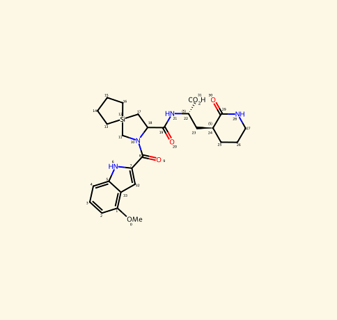 COc1cccc2[nH]c(C(=O)N3C[Si]4(CCCC4)CC3C(=O)N[C@@H](C[C@@H]3CCCNC3=O)C(=O)O)cc12